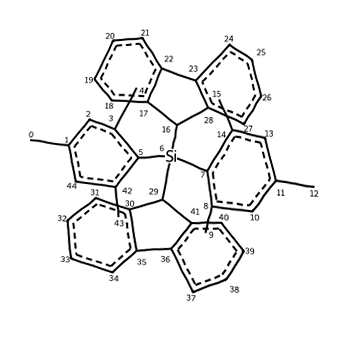 Cc1cc(C)c([Si](c2c(C)cc(C)cc2C)(C2c3ccccc3-c3ccccc32)C2c3ccccc3-c3ccccc32)c(C)c1